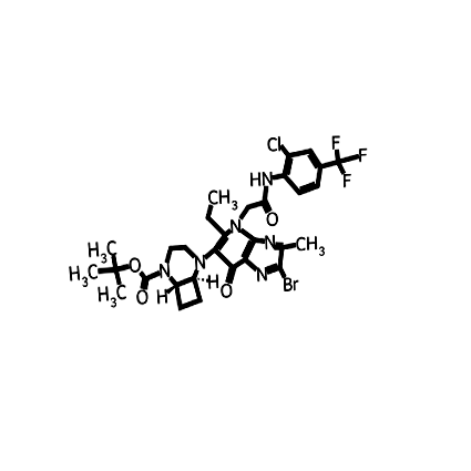 CCc1c(N2CCN(C(=O)OC(C)(C)C)[C@H]3CC[C@@H]32)c(=O)c2nc(Br)c(C)nc2n1CC(=O)Nc1ccc(C(F)(F)F)cc1Cl